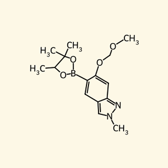 COCOc1cc2nn(C)cc2cc1B1OC(C)C(C)(C)O1